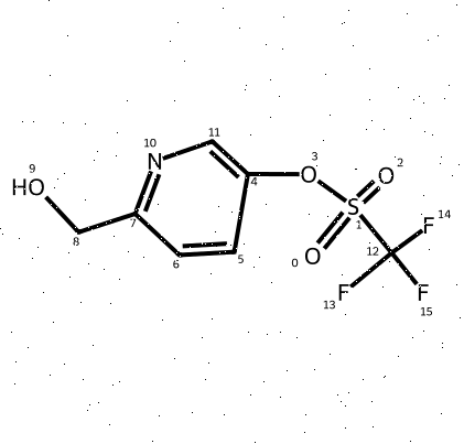 O=S(=O)(Oc1ccc(CO)nc1)C(F)(F)F